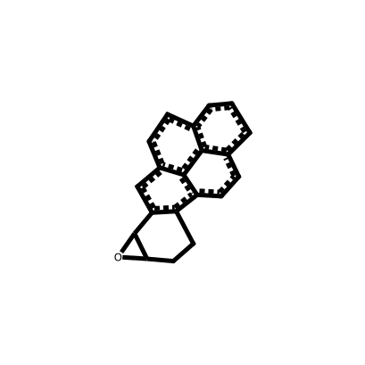 c1cc2ccc3cc4c(c5ccc(c1)c2c35)CCC1OC41